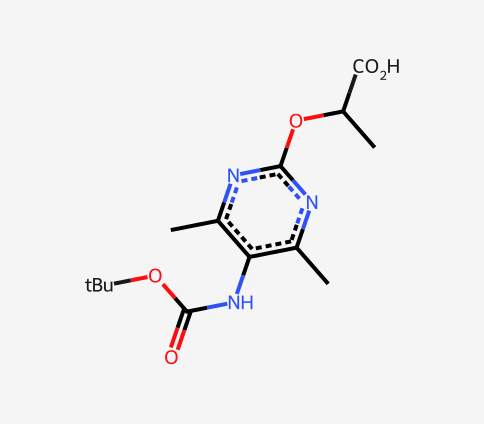 Cc1nc(OC(C)C(=O)O)nc(C)c1NC(=O)OC(C)(C)C